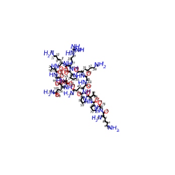 CC(C)[C@H](NC(=O)[C@H](CCCCN)NC(=O)[C@H](CCCNC(=N)N)NC(=O)[C@@H]1CCCN1C(=O)[C@H](CCCCN)NC(=O)[C@H](C)NC(=O)[C@H](CCC(N)=O)NC(=O)[C@@H]1CCCN1C(=O)[C@@H](NC(=O)[C@@H]1CCCN1C(=O)[C@H](C)NC(=O)[C@@H](N)CCCCN)C(C)C)C(=O)N[C@@H](C)C(=O)N[C@@H](C)C(=O)N[C@@H](CCC(N)=O)C(=O)O